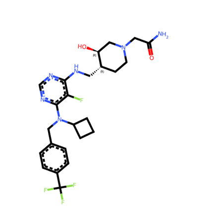 NC(=O)CN1CC[C@H](CNc2ncnc(N(Cc3ccc(C(F)(F)F)cc3)C3CCC3)c2F)[C@@H](O)C1